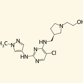 Cn1cc(Nc2ncc(Cl)c(NC[C@H]3CCN(CCO)C3)n2)cn1